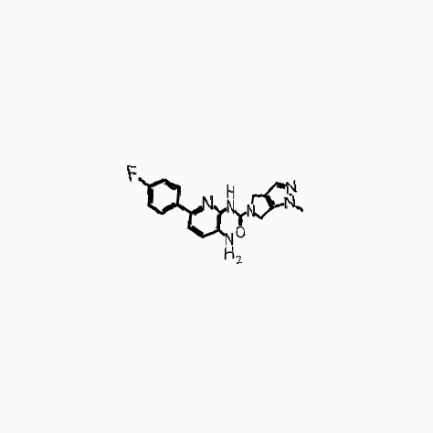 Cn1ncc2c1CN(C(=O)Nc1nc(-c3ccc(F)cc3)ccc1N)C2